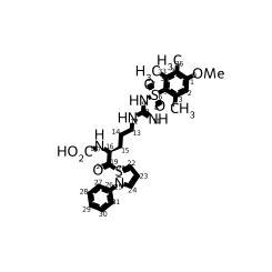 COc1cc(C)c(S(=O)(=O)NC(=N)NCCC[C@H](NC(=O)O)C(=O)S2=CC=CN2c2ccccc2)c(C)c1C